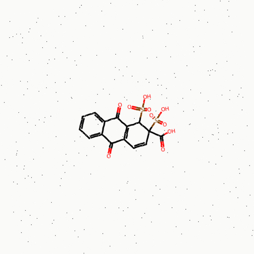 O=C1C2=C(C(=O)c3ccccc31)C(S(=O)(=O)O)C(C(=O)O)(S(=O)(=O)O)C=C2